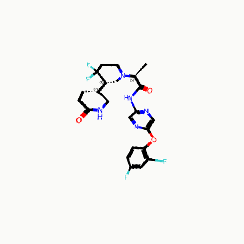 C[C@@H](C(=O)Nc1cnc(Oc2ccc(F)cc2F)cn1)N1CCC(F)(F)[C@@H]([C@H]2CCC(=O)NC2)C1